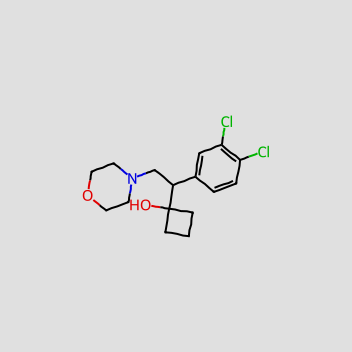 OC1(C(CN2CCOCC2)c2ccc(Cl)c(Cl)c2)CCC1